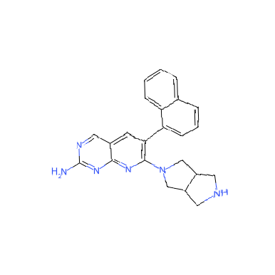 Nc1ncc2cc(-c3cccc4ccccc34)c(N3CC4CNCC4C3)nc2n1